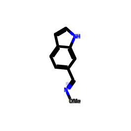 CO/N=C/c1ccc2cc[nH]c2c1